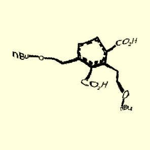 CCCCOCCc1ccc(C(=O)O)c(CCOCCCC)c1C(=O)O